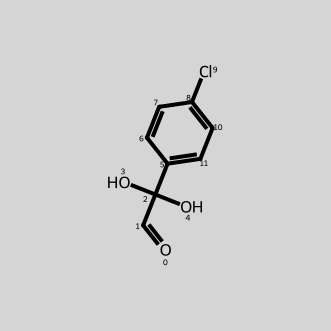 O=CC(O)(O)c1ccc(Cl)cc1